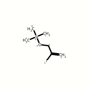 C=C(I)CO[Si](C)(C)C